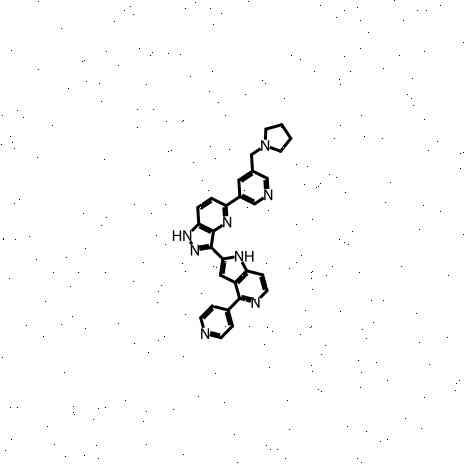 c1cc(-c2nccc3[nH]c(-c4n[nH]c5ccc(-c6cncc(CN7CCCC7)c6)nc45)cc23)ccn1